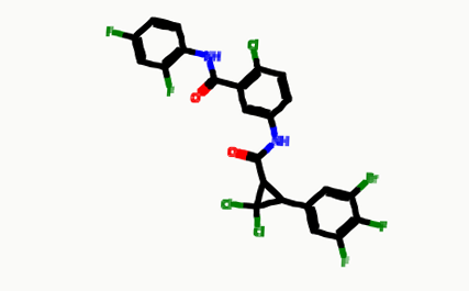 O=C(Nc1ccc(F)cc1F)c1cc(NC(=O)C2C(c3cc(F)c(F)c(Br)c3)C2(Cl)Cl)ccc1Cl